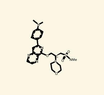 CNS(=O)(=O)C[C@H](COc1nc(-c2ccc(N(C)C)cc2)cc2nccnc12)N1CCOCC1